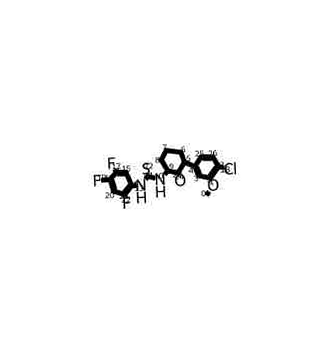 COc1cc(C2CCCC(NC(=S)Nc3cc(F)c(F)cc3F)C2=O)ccc1Cl